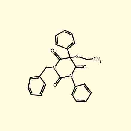 CCSC1(c2ccccc2)C(=O)N(Cc2ccccc2)C(=O)N(c2ccccc2)C1=O